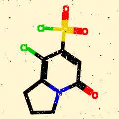 O=c1cc(S(=O)(=O)Cl)c(Cl)c2n1CCC2